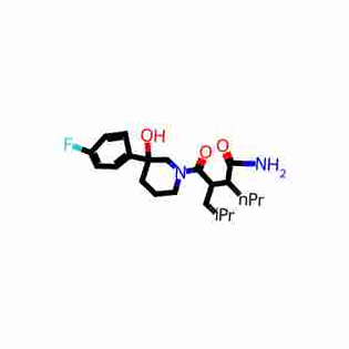 CCCC(C(N)=O)C(CC(C)C)C(=O)N1CCCC(O)(c2ccc(F)cc2)C1